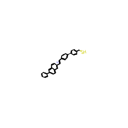 SCc1ccc(-c2ccc(/C=C/c3ccc4cc(-c5ccccc5)ccc4c3)cc2)cc1